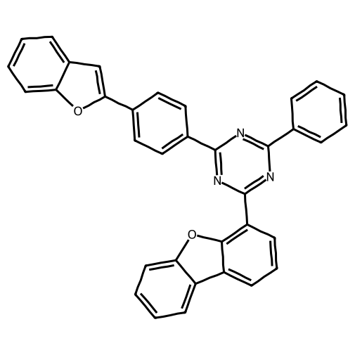 c1ccc(-c2nc(-c3ccc(-c4cc5ccccc5o4)cc3)nc(-c3cccc4c3oc3ccccc34)n2)cc1